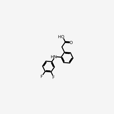 O=C(O)Cc1ccccc1Nc1ccc(F)c(F)c1